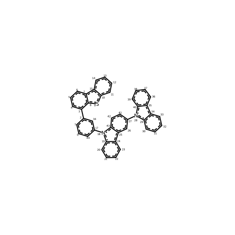 c1cc(-c2cccc3c2sc2ccccc23)cc(-n2c3ccccc3c3cc(-n4c5ccccc5c5ccccc54)ccc32)c1